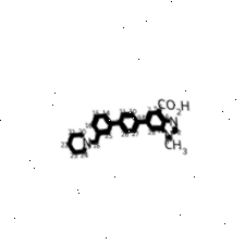 Cn1cnc2c(C(=O)O)cc(-c3ccc(-c4cccc(CN5CCCCC5)c4)cc3)cc21